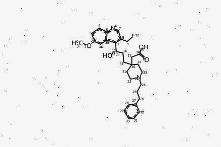 COc1ccc2ncc(CF)c([C@@H](O)CCC3(CC(=O)O)CCN(CCCc4ccccc4)CC3)c2c1